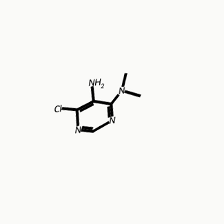 CN(C)c1ncnc(Cl)c1N